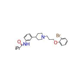 CC(C)C(=O)Nc1cccc(C2CCN(CCCOc3ccccc3Br)CC2)c1